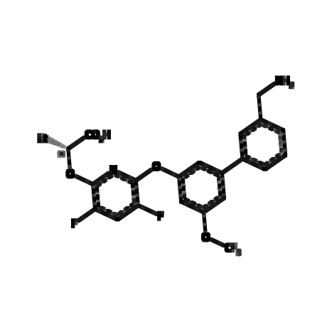 CC[C@@H](Oc1nc(Oc2cc(OC(F)(F)F)cc(-c3cccc(CN)c3)c2)c(F)cc1F)C(=O)O